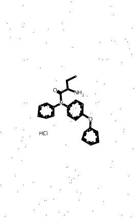 CCC(N)C(=O)N(c1ccccc1)c1ccc(Oc2ccccc2)cc1.Cl